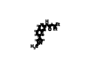 CCN(CC)CC(=O)Nc1cc2nc(-c3cnn(C)c3)ccc2cn1